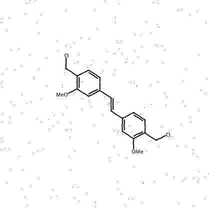 COc1cc(/C=C/c2ccc(CCl)c(OC)c2)ccc1CCl